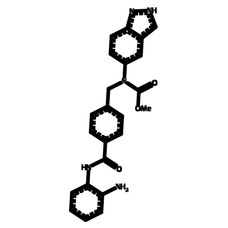 COC(=O)N(Cc1ccc(C(=O)Nc2ccccc2N)cc1)c1ccc2n[nH]cc2c1